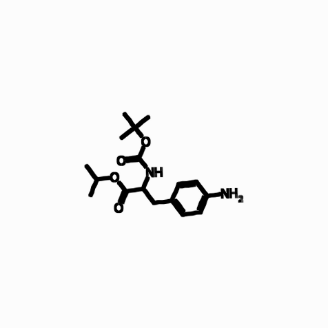 CC(C)OC(=O)C(Cc1ccc(N)cc1)NC(=O)OC(C)(C)C